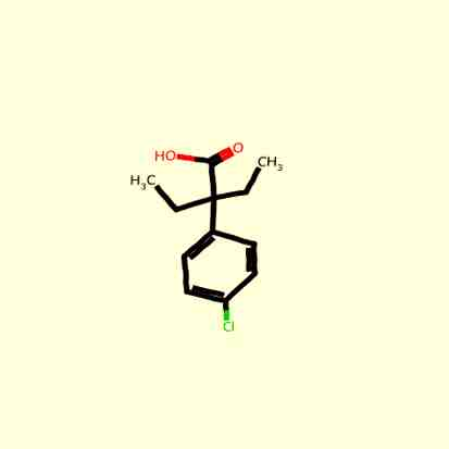 CCC(CC)(C(=O)O)c1ccc(Cl)cc1